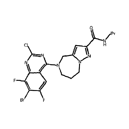 CC(C)NC(=O)c1cc2n(n1)CCCN(c1nc(Cl)nc3c(F)c(Br)c(F)cc13)C2